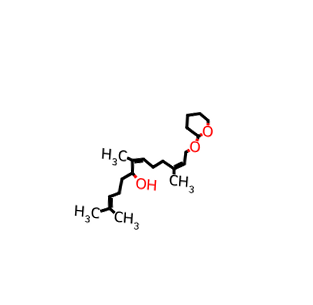 CC(C)=CCCC(O)C(C)=CCCC(C)=CCOC1CCCCO1